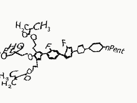 C=C(C)C(=O)OCCCc1cc(-c2ccc(-c3ccc(C4CCC(C5CCC(CCCCC)CC5)CC4)cc3F)cc2F)cc(CCCOC(=O)C(=C)C)c1OCCC(CC)(CO)CO